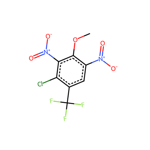 COc1c([N+](=O)[O-])cc(C(F)(F)F)c(Cl)c1[N+](=O)[O-]